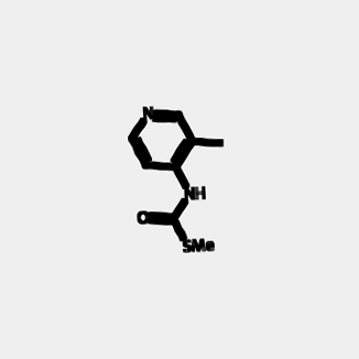 CSC(=O)Nc1ccncc1C